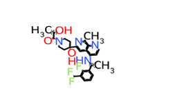 Cc1nc(C2(O)CCN(C(=O)[C@H](C)O)CC2)cc2c(N[C@H](C)c3cccc(C(F)F)c3F)ccnc12